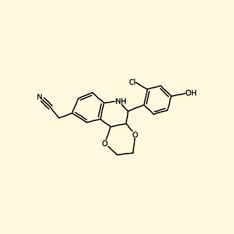 N#CCc1ccc2c(c1)C1OCCOC1C(c1ccc(O)cc1Cl)N2